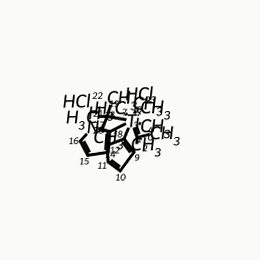 C[C](C)=[Ti]([CH3])([CH3])([CH3])([CH3])([C]1=CC=CC1)([c]1ccc[nH]1)[C](C)(C)C.Cl.Cl